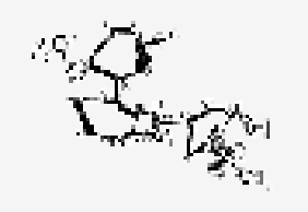 COc1ccc(F)cc1-c1ccnc2[nH]c(C3=CC(CO)N(S(C)(=O)=O)C3)cc12